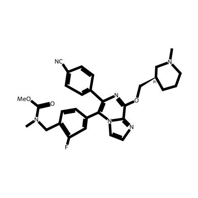 COC(=O)N(C)Cc1ccc(-c2c(-c3ccc(C#N)cc3)nc(OC[C@@H]3CCCN(C)C3)c3nccn23)cc1F